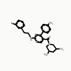 Cc1ccc(-c2nc(NCCc3cccc(F)c3)ncc2C(=O)N2CC(C)CC(C)C2)cc1